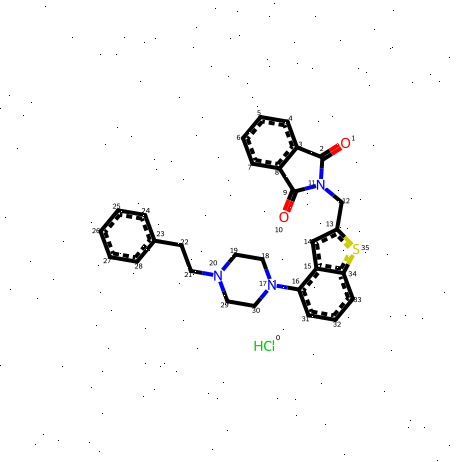 Cl.O=C1c2ccccc2C(=O)N1Cc1cc2c(N3CCN(CCc4ccccc4)CC3)cccc2s1